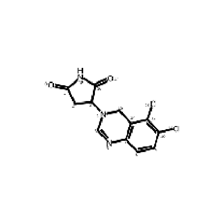 O=C1CC(N2C=Nc3ccc(Cl)c(Cl)c3C2)C(=O)N1